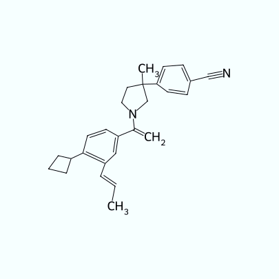 C=C(c1ccc(C2CCC2)c(/C=C/C)c1)N1CCC(C)(c2ccc(C#N)cc2)C1